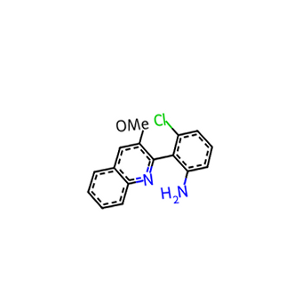 COc1cc2ccccc2nc1-c1c(N)cccc1Cl